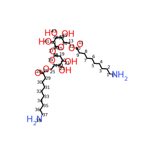 NCCCCCCCCCC(=O)OCC1O[C@H](O[C@@H]2CC(O)[C@H](O)C(COC(=O)CCCCCCCCCN)O2)C(O)C(O)[C@@H]1O